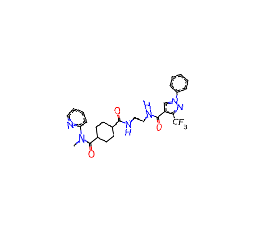 CN(C(=O)C1CCC(C(=O)NCCNC(=O)c2cn(-c3ccccc3)nc2C(F)(F)F)CC1)c1ccccn1